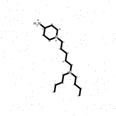 CCCCN(CCCC)CCCCCN1CCC(N)CC1